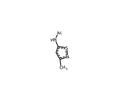 CC(=O)Nc1cc(C)ns1